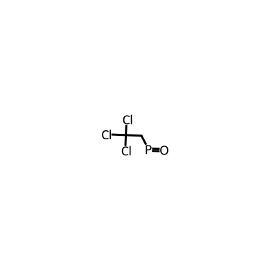 O=PCC(Cl)(Cl)Cl